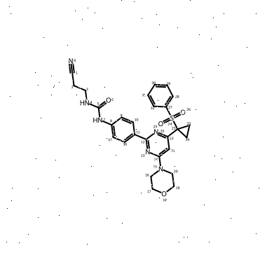 N#CCCNC(=O)Nc1ccc(-c2nc(N3CCOCC3)cc(C3(S(=O)(=O)c4ccccc4)CC3)n2)cc1